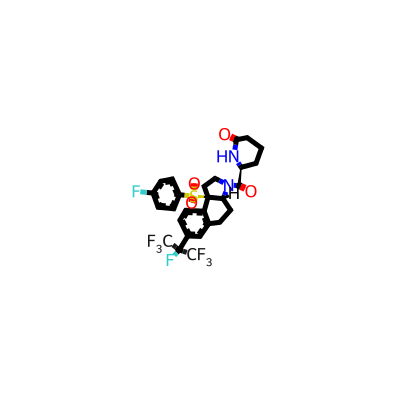 O=C1CCC[C@@H](C(=O)N2CC[C@@]3(S(=O)(=O)c4ccc(F)cc4)c4ccc(C(F)(C(F)(F)F)C(F)(F)F)cc4CC[C@@H]23)N1